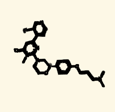 CN(C)CCCOc1ccc([C@H]2CN(c3nc(-c4ccncc4F)cc(=O)n3C)CCO2)cc1